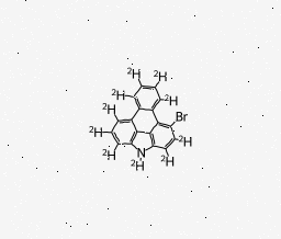 [2H]c1c([2H])c([2H])c2c(c1[2H])c1c([2H])c([2H])c([2H])c3c1c1c2c(Br)c([2H])c([2H])c1n3[2H]